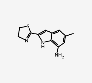 Cc1cc(N)c2[nH]c(C3=NCCS3)cc2c1